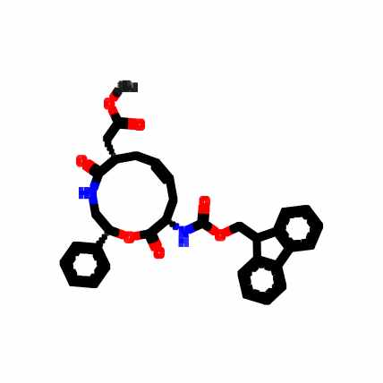 CC(C)(C)OC(=O)C[C@@H]1CC=CC[C@H](NC(=O)OCC2c3ccccc3-c3ccccc32)C(=O)O[C@H](c2ccccc2)CNC1=O